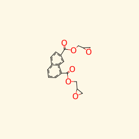 O=C(OCC1CO1)c1ccc2cccc(C(=O)OCC3CO3)c2c1